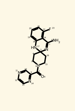 NC1=NC2(CCN(C(=O)c3cnccn3)CC2)Nc2cccc(F)c21